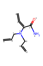 C=C=C(C(N)=O)N(CC=C)CC=C